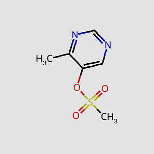 Cc1ncncc1OS(C)(=O)=O